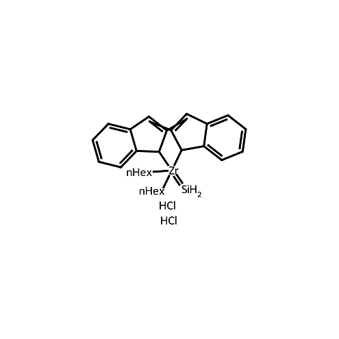 CCCCC[CH2][Zr](=[SiH2])([CH2]CCCCC)([CH]1C(C)=Cc2ccccc21)[CH]1C(C)=Cc2ccccc21.Cl.Cl